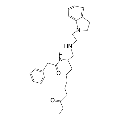 CCC(=O)CCCCCC(CNCCN1CCc2ccccc21)NC(=O)Cc1ccccc1